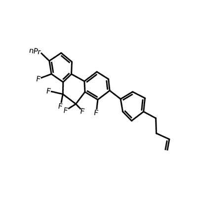 C=CCCc1ccc(-c2ccc3c(c2F)C(F)(F)C(F)(F)c2c-3ccc(CCC)c2F)cc1